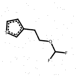 FC(F)OCCc1ccsc1